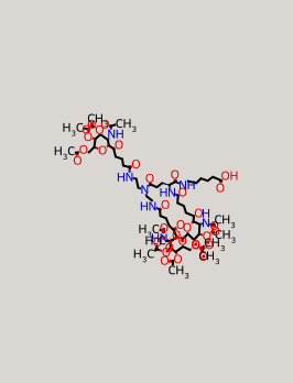 CC(=O)NC1C(C(=O)CCCC(=O)NCCN(CCNC(=O)CCCC(=O)C2OC(COC(C)=O)C(OC(C)=O)C(OC(C)=O)C2NC(C)=O)C(=O)CC[C@H](NC(=O)CCCC(=O)C2OC(COC(C)=O)C(OC(C)=O)C(OC(C)=O)C2NC(C)=O)C(=O)NCCCCCC(=O)O)OC(COC(C)=O)C(OC(C)=O)C1OC(C)=O